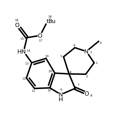 CN1CCC2(CC1)C(=O)Nc1ccc(NC(=O)OC(C)(C)C)cc12